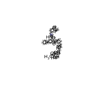 C[C@@H](O)C(O)[C@@H](O)C(CO)OOCc1cn(Cc2cccc(C(=O)Nc3ccc(N4CCCCC4)cc3C(=O)N/N=C/c3ccc(Cl)c(C(F)(F)F)c3)c2)nn1